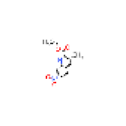 CCOC(=O)c1nc2cc([N+](=O)[O-])ccc2cc1C